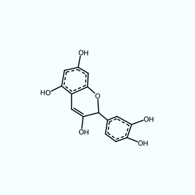 OC1=Cc2c(O)cc(O)cc2OC1c1ccc(O)c(O)c1